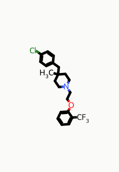 CC1(Cc2ccc(Cl)cc2)CCN(CCOc2ccccc2C(F)(F)F)CC1